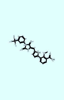 COc1c(C(=O)O)cccc1-c1ccc(/C=C2\SC(=S)N(c3cccc(C(F)(F)F)c3)C2=O)[nH]1